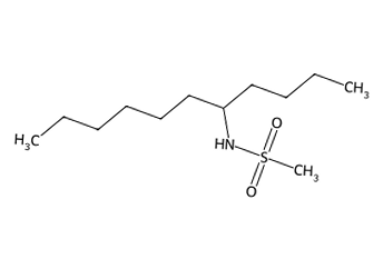 CCCCCCC(CCCC)NS(C)(=O)=O